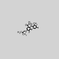 C=C(C)COc1cc(C(N)=O)c(Nc2ccc(I)cc2C)c(F)c1F